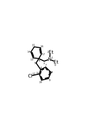 CCN(CC)CC1(Cc2ccccc2Cl)C=C[CH]C=C1